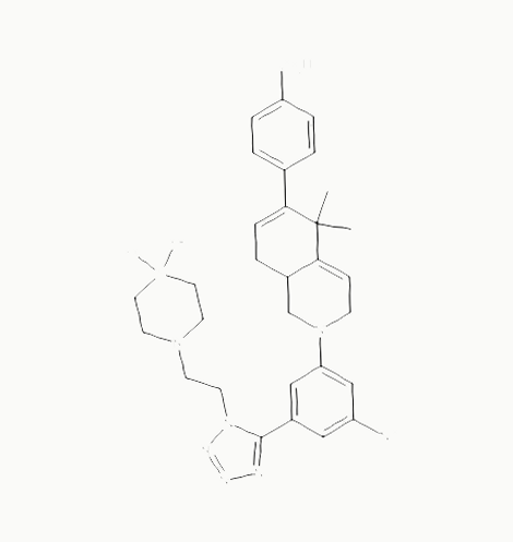 CC1(C)C(c2ccc(C(=O)O)cc2)=CC[C@]2(C)CN(c3cc(-c4nnnn4CCN4CCS(O)(O)CC4)cc([N+](=O)[O-])c3)CC=C12